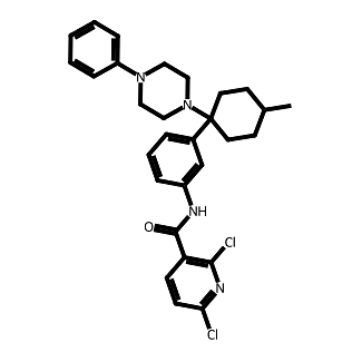 CC1CCC(c2cccc(NC(=O)c3ccc(Cl)nc3Cl)c2)(N2CCN(c3ccccc3)CC2)CC1